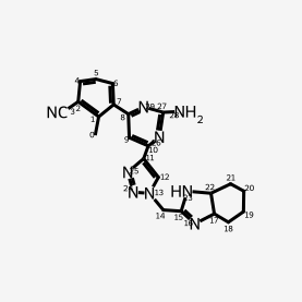 Cc1c(C#N)cccc1-c1cc(-c2cn(CC3=NC4CCCCC4N3)nn2)nc(N)n1